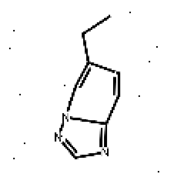 CCc1ccc2ncnn2c1